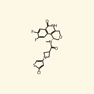 CN(C(=O)C1CN(c2csc(Cl)c2)C1)[C@H]1COCc2[nH]c(=O)c3cc(F)c(F)cc3c21